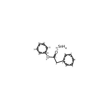 O=C(Cc1ccccc1)Oc1ccccc1.[SnH4]